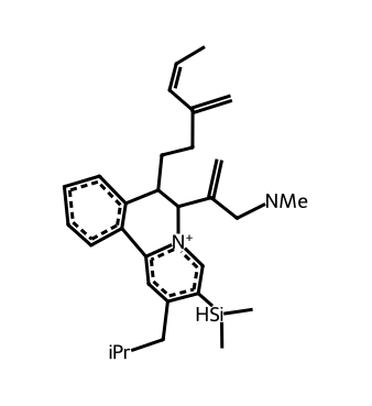 C=C(/C=C\C)CCC1c2ccccc2-c2cc(CC(C)C)c([SiH](C)C)c[n+]2C1C(=C)CNC